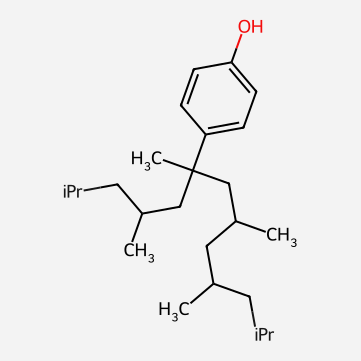 CC(C)CC(C)CC(C)CC(C)(CC(C)CC(C)C)c1ccc(O)cc1